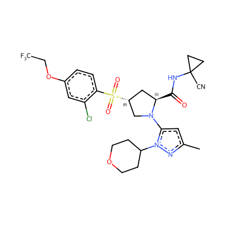 Cc1cc(N2C[C@H](S(=O)(=O)c3ccc(OCC(F)(F)F)cc3Cl)C[C@H]2C(=O)NC2(C#N)CC2)n(C2CCOCC2)n1